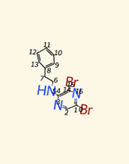 Brc1cnc(NCCc2ccccc2)c(Br)n1